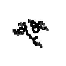 C=CC(=O)OCCC[Si](OC)(OC)OC.COC1(OC)CCCC[Si]1(OC)OC